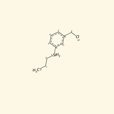 CCC[SiH2]c1cccc(CCl)c1